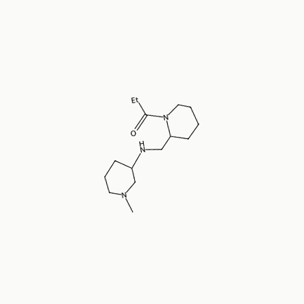 CCC(=O)N1CCCCC1CNC1CCCN(C)C1